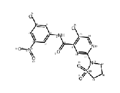 O=C(Nc1cc(Cl)cc([N+](=O)[O-])c1)c1cc(N2CCCS2(=O)=O)ncc1Cl